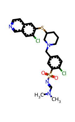 CN(C)/C=N/S(=O)(=O)c1cc(CN2CCCC(Sc3cc4ccncc4cc3Cl)C2)ccc1Cl